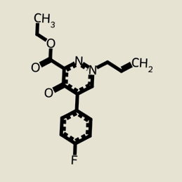 C=CCn1cc(-c2ccc(F)cc2)c(=O)c(C(=O)OCC)n1